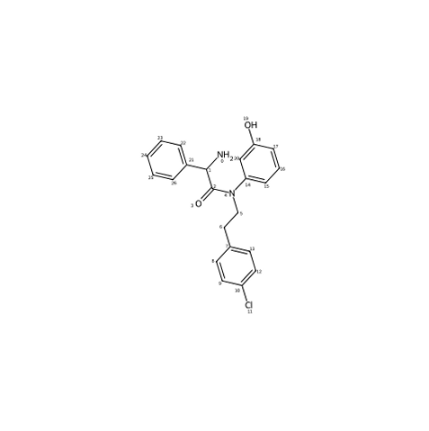 NC(C(=O)N(CCc1ccc(Cl)cc1)c1cccc(O)c1)c1ccccc1